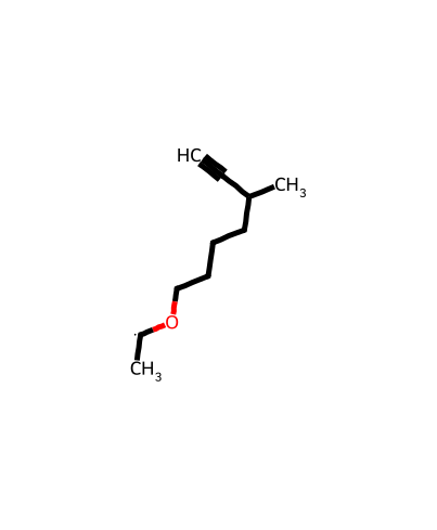 C#CC(C)CCCCO[CH]C